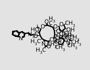 CO[C@]1(C)C[C@@H](C)/C(=N\C(C)=O)[C@H](C)[C@@H](OC/C=C/c2cnc3ccccc3c2)[C@](C)(O)[C@@H](I)OC(=O)[C@H](C)[C@@H](O[C@H]2C[C@@](C)(OC)[C@@H](O)[C@H](C)O2)[C@H](C)[C@H]1O[C@@H]1O[C@H](C)C[C@H](N(C)C(C)(C)C)[C@H]1O